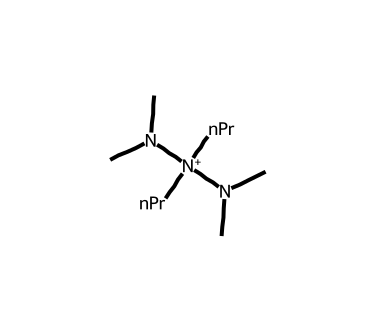 CCC[N+](CCC)(N(C)C)N(C)C